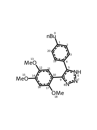 CCCCc1ccc(-c2[nH]nnc2-c2cc(OC)c(OC)cc2OC)cc1